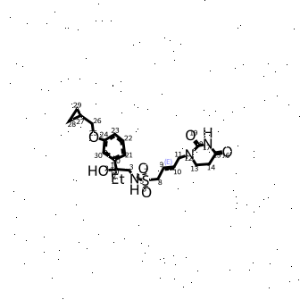 CC[C@@](O)(CNS(=O)(=O)C/C=C/CN1CCC(=O)NC1=O)c1cccc(OCC2CC2)c1